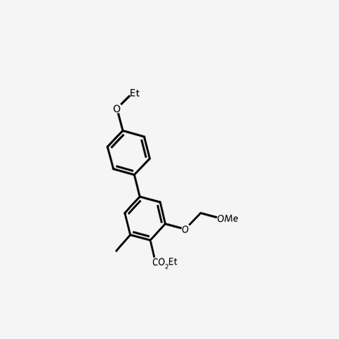 CCOC(=O)c1c(C)cc(-c2ccc(OCC)cc2)cc1OCOC